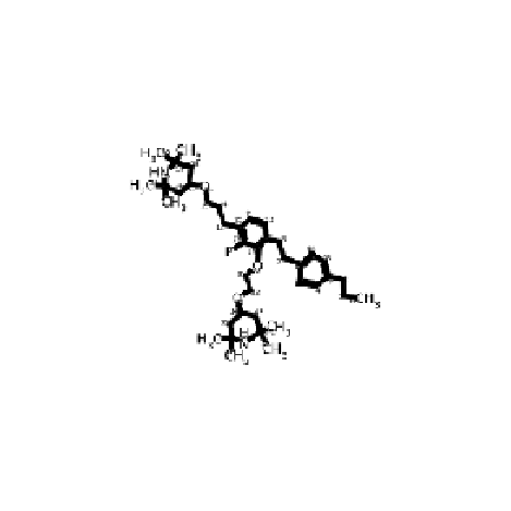 CCCc1ccc(CCc2ccc(CCCOC3CC(C)(C)NC(C)(C)C3)c(F)c2OCCOC2CC(C)(C)NC(C)(C)C2)cc1